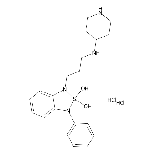 Cl.Cl.OS1(O)N(CCCNC2CCNCC2)c2ccccc2N1c1ccccc1